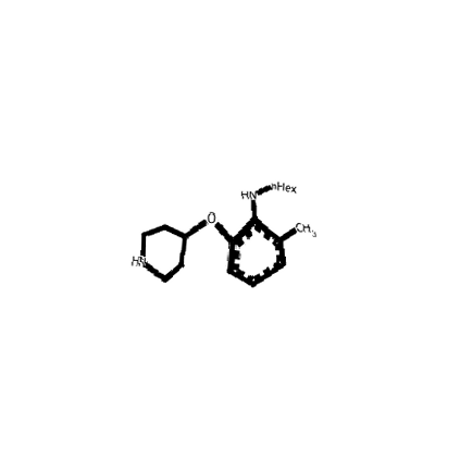 CCCCCCNc1c(C)cccc1OC1CCNCC1